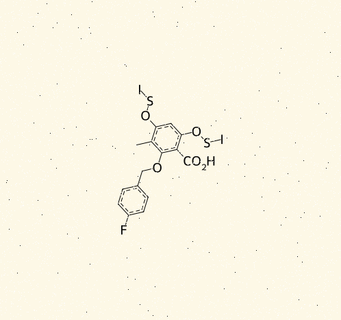 Cc1c(OSI)cc(OSI)c(C(=O)O)c1OCc1ccc(F)cc1